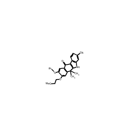 COCCOc1cc2c(cc1OC(C)C)C(=O)c1c([nH]c3cc(C#N)ccc13)C2(C)C